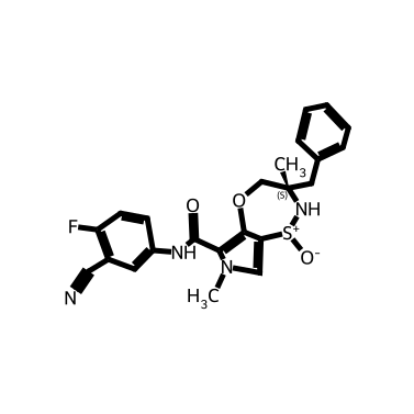 Cn1cc2c(c1C(=O)Nc1ccc(F)c(C#N)c1)OC[C@](C)(Cc1ccccc1)N[S+]2[O-]